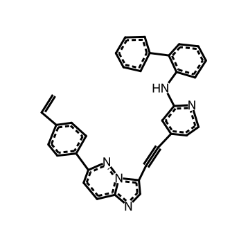 C=Cc1ccc(-c2ccc3ncc(C#Cc4ccnc(Nc5ccccc5-c5ccccc5)c4)n3n2)cc1